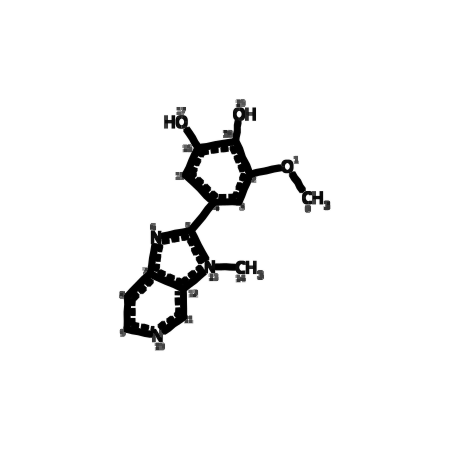 COc1cc(-c2nc3ccncc3n2C)cc(O)c1O